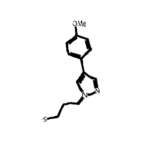 COc1ccc(-c2cnn(CCC[S])c2)cc1